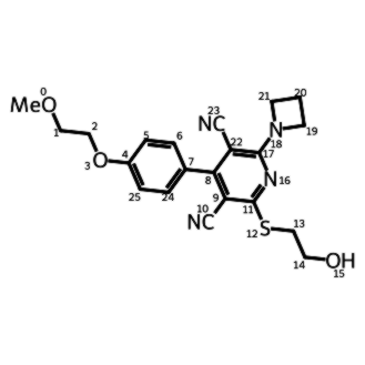 COCCOc1ccc(-c2c(C#N)c(SCCO)nc(N3CCC3)c2C#N)cc1